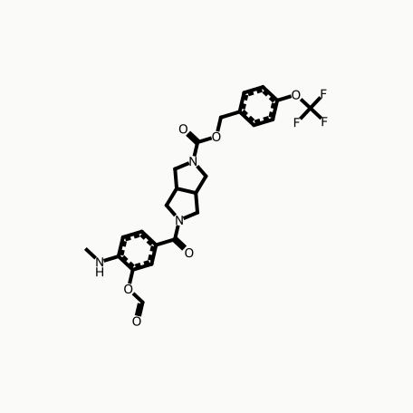 CNc1ccc(C(=O)N2CC3CN(C(=O)OCc4ccc(OC(F)(F)F)cc4)CC3C2)cc1OC=O